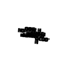 CCC[CH2][Sn+2][CH2]CCC.CCOC(C(=O)[O-])C(O)C(O)C(O)CO.CCOC(C(=O)[O-])C(O)C(O)C(O)CO